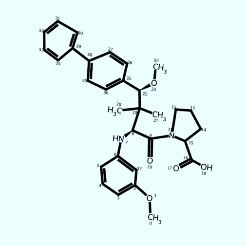 COc1cccc(N[C@H](C(=O)N2CCCC2C(=O)O)C(C)(C)[C@H](OC)c2ccc(-c3ccccc3)cc2)c1